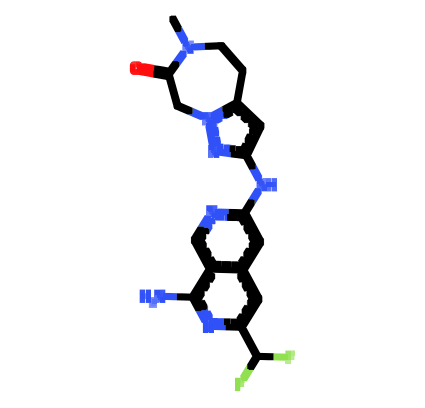 CN1CCc2cc(Nc3cc4cc(C(F)F)nc(N)c4cn3)nn2CC1=O